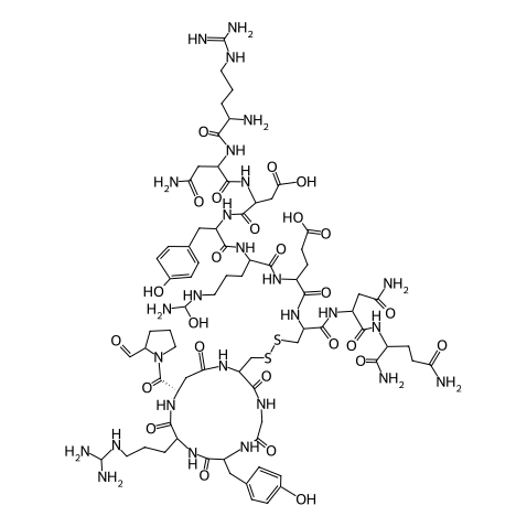 N=C(N)NCCCC(N)C(=O)NC(CC(N)=O)C(=O)NC(CC(=O)O)C(=O)NC(Cc1ccc(O)cc1)C(=O)NC(CCCNC(N)O)C(=O)NC(CCC(=O)O)C(=O)NC(CSSCC1NC(=O)C[C@@H](C(=O)N2CCCC2C=O)NC(=O)C(CCCNC(N)N)NC(=O)C(Cc2ccc(O)cc2)NC(=O)CNC1=O)C(=O)NC(CC(N)=O)C(=O)NC(CCC(N)=O)C(N)=O